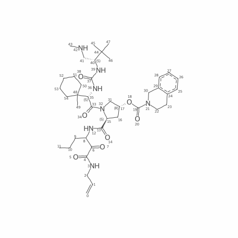 C=CCNC(=O)C(=O)C(CCC)NC(=O)[C@@H]1C[C@@H](OC(=O)N2CCc3ccccc3C2)CN1C(=O)[C@@H](NC(=O)N[C@H](CNC)C(C)(C)C)C1(C)CCCCC1